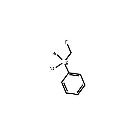 N#[C][Hg]([Br])([CH2]F)[c]1ccccc1